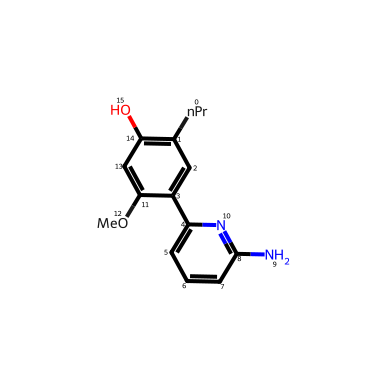 CCCc1cc(-c2cccc(N)n2)c(OC)cc1O